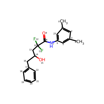 Cc1cc(C)cc(NC(=O)C(F)(F)CC(O)Cc2ccccc2)c1